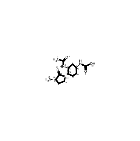 CC(=O)N[C@@H]1C[C@H](NC(=O)O)CC[C@@H]1N1CC[C@H](N)C1=O